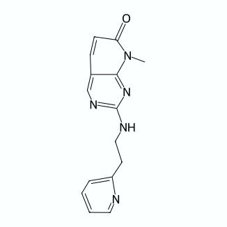 Cn1c(=O)ccc2cnc(NCCc3ccccn3)nc21